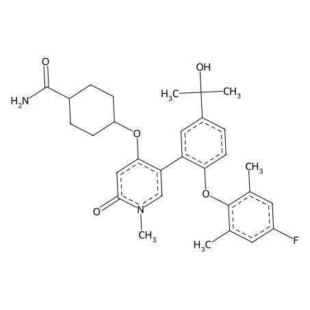 Cc1cc(F)cc(C)c1Oc1ccc(C(C)(C)O)cc1-c1cn(C)c(=O)cc1OC1CCC(C(N)=O)CC1